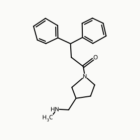 CNCC1CCN(C(=O)CC(c2ccccc2)c2ccccc2)C1